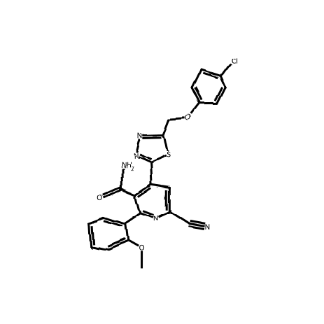 COc1ccccc1-c1nc(C#N)cc(-c2nnc(COc3ccc(Cl)cc3)s2)c1C(N)=O